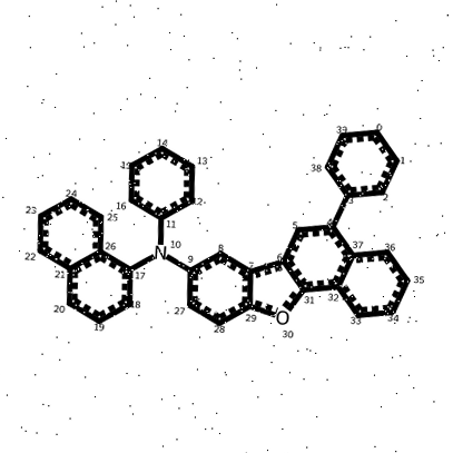 c1ccc(-c2cc3c4cc(N(c5ccccc5)c5cccc6ccccc56)ccc4oc3c3ccccc23)cc1